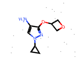 Nc1cn(C2CC2)nc1OC1COC1